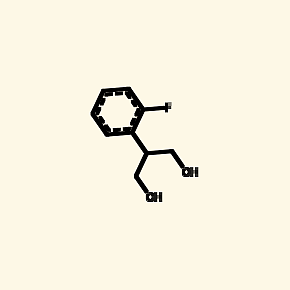 OCC(CO)c1ccccc1F